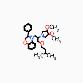 COC1CN(C(COCCC(C)C)CN2c3ccccc3OCC2c2ccccc2)CC1OC